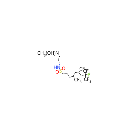 CN(O)CCCNS(=O)(=O)CCCC(CC(CC(F)(C(F)(F)F)C(F)(F)F)C(F)(F)F)C(F)(F)F